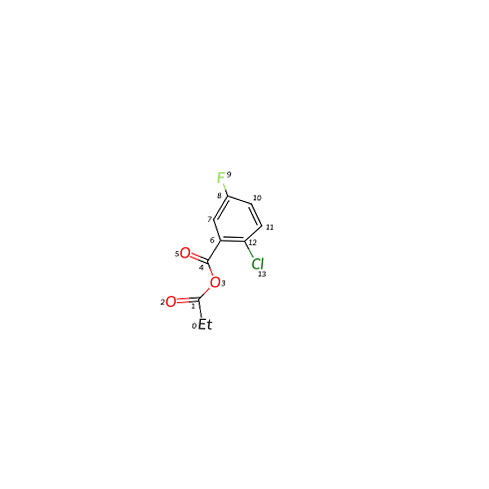 CCC(=O)OC(=O)c1cc(F)ccc1Cl